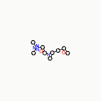 C1=C(n2c3ccccc3c3cc(-c4ccc(-c5cccc6c5oc5ccccc56)cc4)ccc32)CCc2oc3c(-c4nc(-c5ccccc5)nc(-c5ccccc5)n4)cccc3c21